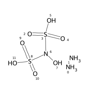 N.N.O=S(=O)(O)N(O)S(=O)(=O)O